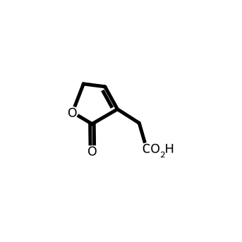 O=C(O)CC1=CCOC1=O